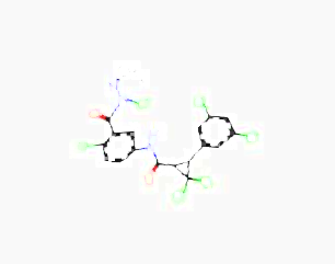 C=NN(Cl)C(=O)c1cc(NC(=O)C2C(c3cc(Cl)cc(Cl)c3)C2(Cl)Cl)ccc1Cl